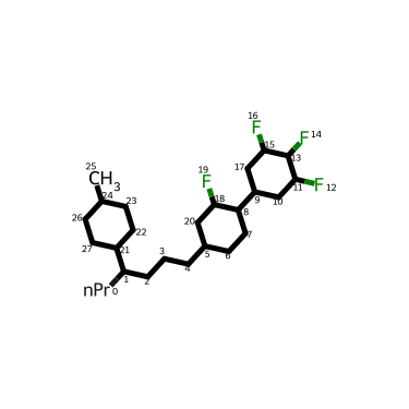 CCCC(CCCC1CCC(C2CC(F)C(F)C(F)C2)C(F)C1)C1CCC(C)CC1